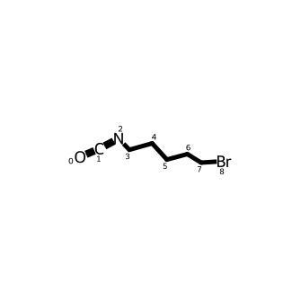 O=C=NCCCCCBr